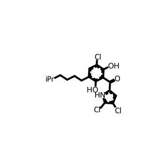 CC(C)CCCCc1cc(Cl)c(O)c(C(=O)c2cc(Cl)c(Cl)[nH]2)c1O